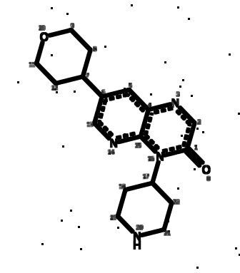 O=c1cnc2cc(C3CCOCC3)cnc2n1C1CCNCC1